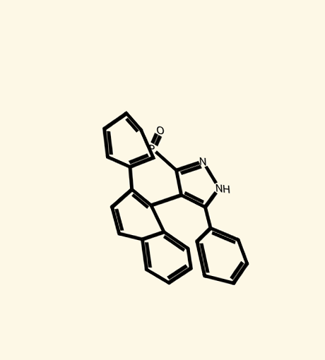 O=Pc1n[nH]c(-c2ccccc2)c1-c1c(-c2ccccc2)ccc2ccccc12